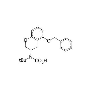 CC(C)(C)N(C(=O)O)C1COc2cccc(OCc3ccccc3)c2C1